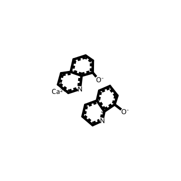 [Ca+2].[O-]c1cccc2cccnc12.[O-]c1cccc2cccnc12